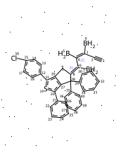 B/C(C#C)=C(B)/C(B)=C1\Cc2c(-c3ccc(Cl)cc3)sc(-c3ccccc3)c2C1(c1ccccc1)c1ccccc1